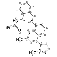 Cc1cc(-c2ccnn2C)c2cccc(OCc3cccnc3CNC(=O)C(C)C)c2n1